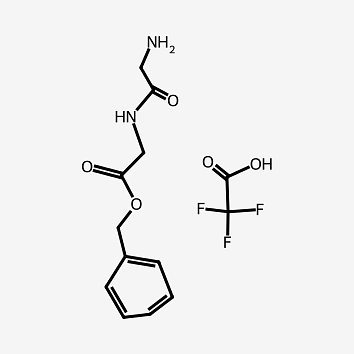 NCC(=O)NCC(=O)OCc1ccccc1.O=C(O)C(F)(F)F